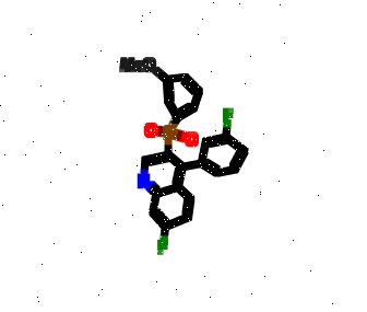 COc1cccc(S(=O)(=O)c2cnc3cc(F)ccc3c2-c2cccc(F)c2)c1